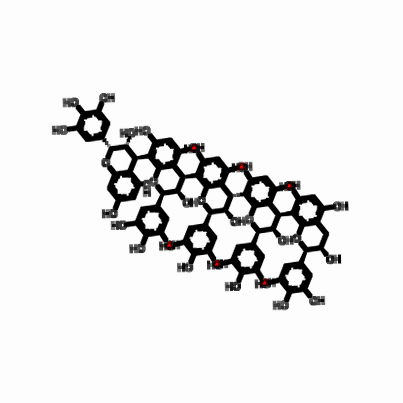 Oc1cc(O)c2c(c1)O[C@H](c1cc(O)c(O)c(O)c1)[C@H](O)[C@H]2c1c(O)cc(O)c2c1O[C@H](c1cc(O)c(O)c(O)c1)[C@H](O)[C@@H]2c1c(O)cc(O)c2c1O[C@H](c1cc(O)c(O)c(O)c1)[C@H](O)[C@H]2c1c(O)cc(O)c2c1O[C@H](c1cc(O)c(O)c(O)c1)[C@H](O)[C@@H]2c1c(O)cc(O)c2c1O[C@H](c1cc(O)c(O)c(O)c1)[C@H](O)C2